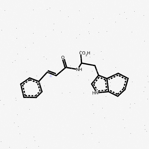 O=C(/C=C/c1ccccc1)NC(Cc1c[nH]c2ccccc12)C(=O)O